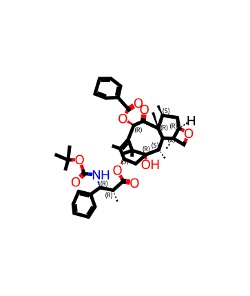 CC1=C2[C@@H](OC(=O)c3ccccc3)C(=O)[C@@]3(C)C([C@H](C)[C@](O)(C[C@@H]1OC(=O)[C@H](C)[C@@H](NC(=O)OC(C)(C)C)c1ccccc1)C2(C)C)[C@]1(C)CO[C@@H]1C[C@@H]3C